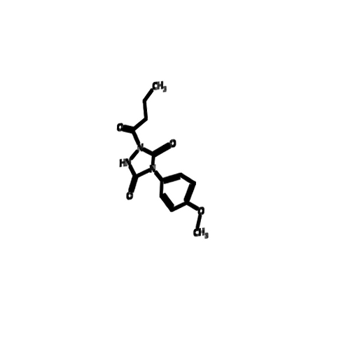 CCCC(=O)n1[nH]c(=O)n(-c2ccc(OC)cc2)c1=O